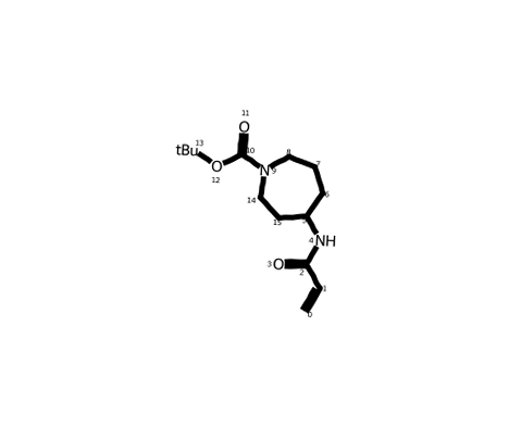 C=CC(=O)NC1CCCN(C(=O)OC(C)(C)C)CC1